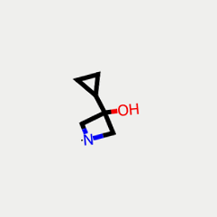 OC1(C2CC2)C[N]C1